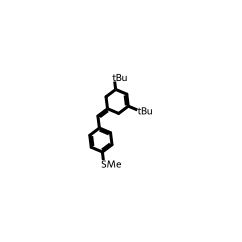 CSc1ccc(C=C2CC(C(C)(C)C)=CC(C(C)(C)C)C2)cc1